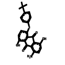 CC(C)(C)c1ccc(Sc2ccc(O)c3c2C(=O)c2c(O)ccc(N)c2C3=O)cc1